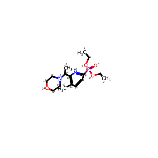 CCOP(=O)(OCC)c1ccc(C)c(C(C)N2CCOCC2)n1